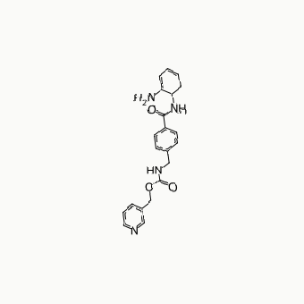 NC1=CC=CCC1NC(=O)c1ccc(CNC(=O)OCc2cccnc2)cc1